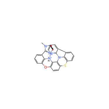 Cn1c2[n+](c3ccccc31)[N@@+]13c4c(cccc4-2)Oc2ccc4c(c21)-n1c2c(cccc2c2ccc[n+]3c21)S4